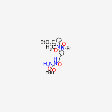 CCOC(=O)CC(C)N1C(=O)c2cc(C#CC(=O)NCC(N)C(=O)OC(C)(C)C)ccc2N(C(C)C)C(=O)C1c1ccccc1